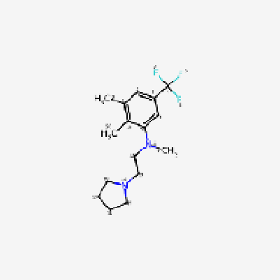 Cc1cc(C(F)(F)F)cc(N(C)CCN2CCCC2)c1C